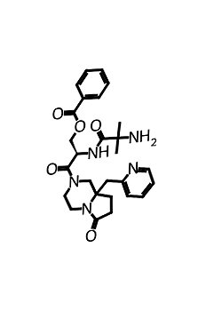 CC(C)(N)C(=O)N[C@H](COC(=O)c1ccccc1)C(=O)N1CCN2C(=O)CCC2(Cc2ccccn2)C1